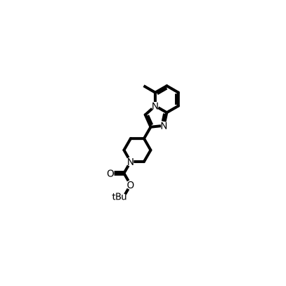 Cc1cccc2nc(C3CCN(C(=O)OC(C)(C)C)CC3)cn12